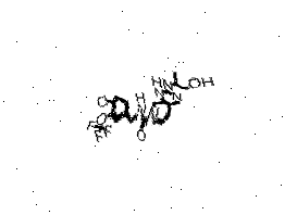 CC(CO)Nc1ncc2c(n1)CN(C(=O)NCc1ccc(Cl)c(OC(F)(F)F)c1)CC2